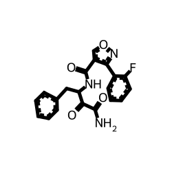 NC(=O)C(=O)C(Cc1ccccc1)NC(=O)c1conc1-c1ccccc1F